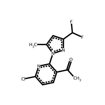 CC(=O)c1ccc(Cl)nc1-n1nc(C(F)F)cc1C